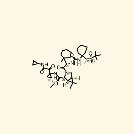 CC[C@@H]1CC1(NC(=O)[C@@H]1[C@@H]2[C@H](CN1C(=O)[C@@H](NC(=O)NC1([C@@H](C)S(=O)(=O)C(C)(C)C)CCCCC1)C1(C)CCCCC1)C2(C)C)C(=O)C(=O)NC1CC1